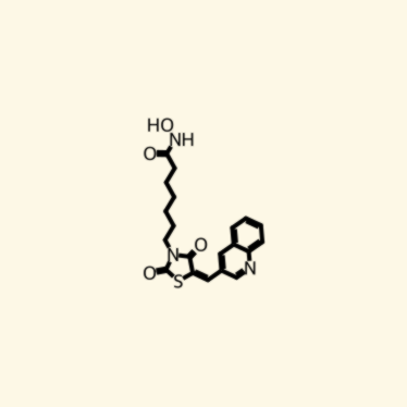 O=C(CCCCCCN1C(=O)SC(=Cc2cnc3ccccc3c2)C1=O)NO